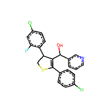 OC(C1=C(c2ccc(Cl)cc2)SCC1c1ccc(Cl)cc1F)c1cccnc1